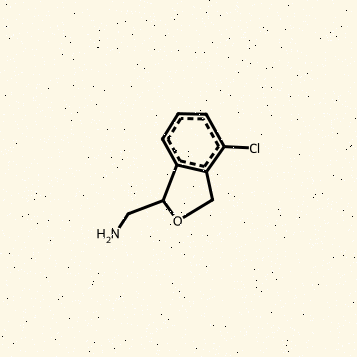 NCC1OCc2c(Cl)cccc21